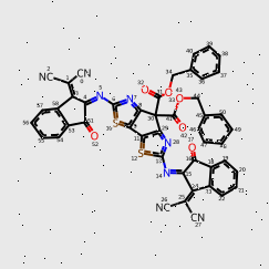 N#CC(C#N)=C1/C(=N/c2nc3c(s2)-c2sc(/N=C4\C(=O)c5ccccc5C4=C(C#N)C#N)nc2C3(C(=O)OCc2ccccc2)C(=O)OCc2ccccc2)C(=O)c2ccccc21